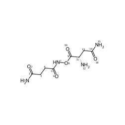 NC(=O)CCC(=O)NOC(=O)[C@@H](N)CC(N)=O